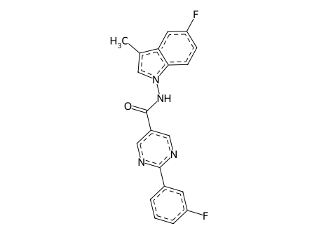 Cc1cn(NC(=O)c2cnc(-c3cccc(F)c3)nc2)c2ccc(F)cc12